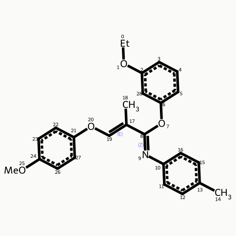 CCOc1cccc(OC(=N\c2ccc(C)cc2)/C(C)=C/Oc2ccc(OC)cc2)c1